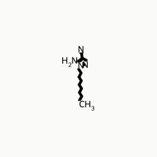 CCCCCCCCCCn1ncc(C#N)c1N